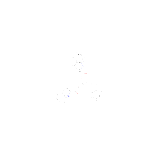 O=C(OC1C2CC(C1OC(=O)c1ccc3ccccc3n1)C1c3ccccc3CC21)c1ccc2ccccc2n1